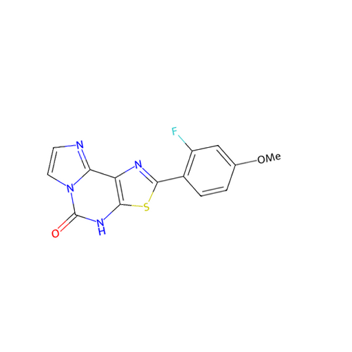 COc1ccc(-c2nc3c([nH]c(=O)n4ccnc34)s2)c(F)c1